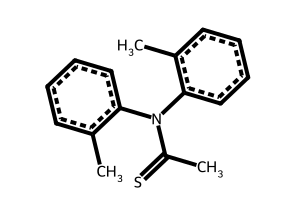 CC(=S)N(c1ccccc1C)c1ccccc1C